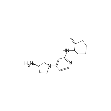 C=C1CCCCC1Nc1cc(N2CC[C@@H](N)C2)ccn1